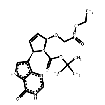 CCO[PH](=O)CO[C@@H]1C=C[C@H](c2c[nH]c3c(=O)[nH]cnc23)N1C(=O)OC(C)(C)C